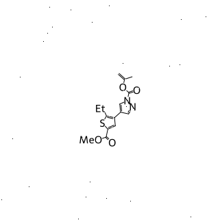 C=C(C)OC(=O)n1cc(-c2cc(C(=O)OC)sc2CC)cn1